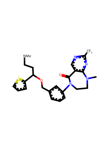 CNCCC(OCc1cccc(N2CCN(C)c3nc(C(F)(F)F)ncc3C2=O)c1)c1cccs1